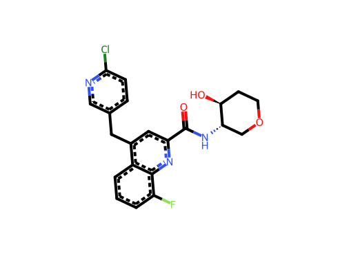 O=C(N[C@H]1COCC[C@@H]1O)c1cc(Cc2ccc(Cl)nc2)c2cccc(F)c2n1